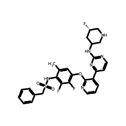 Cc1cc(Oc2ncccc2-c2ccnc(NC3CNC[C@@H](F)C3)n2)c(F)c(F)c1NS(=O)(=O)Cc1ccccc1